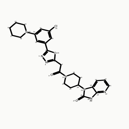 O=C(Cc1nnc(-c2cc(Cl)cc(N3CCCCC3)c2)o1)N1CCC(n2c(=O)[nH]c3ncccc32)CC1